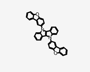 c1ccc2c(c1)oc1ccc(-n3c4ccccc4c4c3c3ccccc3n4-c3ccc4oc5ccccc5c4c3)cc12